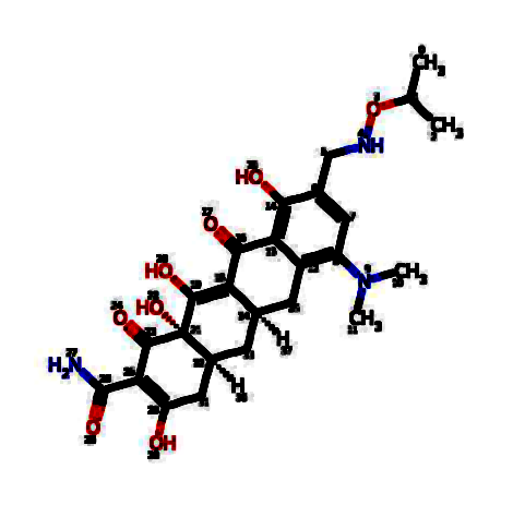 CC(C)ONCc1cc(N(C)C)c2c(c1O)C(=O)C1=C(O)[C@]3(O)C(=O)C(C(N)=O)=C(O)C[C@@H]3C[C@@H]1C2